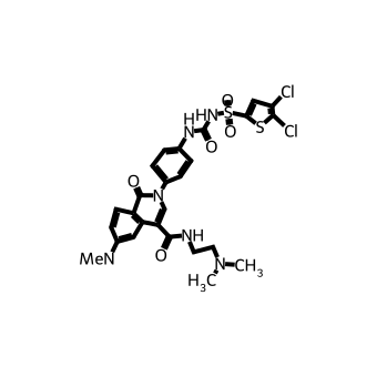 CNc1ccc2c(=O)n(-c3ccc(NC(=O)NS(=O)(=O)c4cc(Cl)c(Cl)s4)cc3)cc(C(=O)NCCN(C)C)c2c1